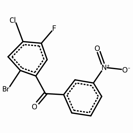 O=C(c1cccc([N+](=O)[O-])c1)c1cc(F)c(Cl)cc1Br